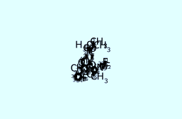 CC(C)(C)OC(=O)N1CCN2C(=O)c3c(N4CC(N5CC(F)(F)C5)CC4(C)C)nc(-c4ccccc4F)c(Cl)c3OCC2C1